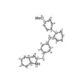 COc1ccc(-c2nccnc2Oc2ccc([C]c3nc4ccccc4[nH]3)cc2)cn1